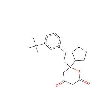 CC(C)(C)c1cccc(CCC2(C3CCCC3)CC(=O)CC(=O)O2)c1